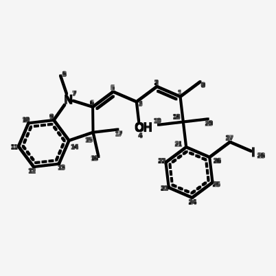 C/C(=C/C(O)/C=C1/N(C)c2ccccc2C1(C)C)C(C)(C)c1ccccc1CI